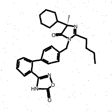 CCCCC1=N[C@](C)(C2CCCCC2)C(=O)N1Cc1ccc(-c2ccccc2-c2noc(=O)[nH]2)cc1